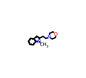 Cn1c(CCN2CCOCC2)cc2ccccc21